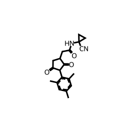 Cc1cc(C)c(C2C(=O)CC(CC(=O)NC3(C#N)CC3)C2=O)c(C)c1